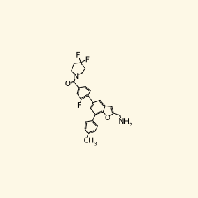 Cc1ccc(-c2cc(-c3ccc(C(=O)N4CCC(F)(F)CC4)cc3F)cc3cc(CN)oc23)cc1